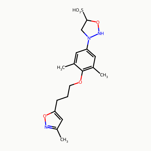 Cc1cc(CCCOc2c(C)cc(N3CC(S(=O)(=O)O)ON3)cc2C)on1